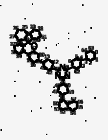 c1ccc(-c2ccc(-c3nc(-c4ccc(-c5ccc6c(c5)OC(c5ccccc5)(c5ccccc5)c5ccccc5-6)cc4)nc(-c4ccc(-c5cccc6ccccc56)cc4)n3)cc2)cc1